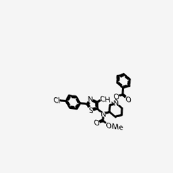 COC(=O)N(c1sc(-c2ccc(Cl)cc2)nc1C)C1CCCN(OC(=O)c2ccccc2)C1